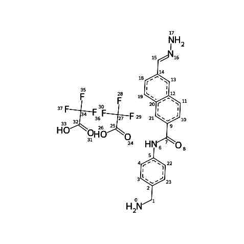 NCc1ccc(NC(=O)c2ccc3cc(C=NN)ccc3c2)cc1.O=C(O)C(F)(F)F.O=C(O)C(F)(F)F